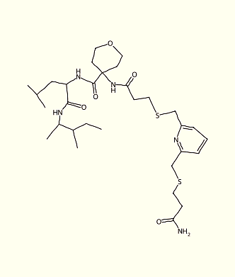 CCC(C)C(C)NC(=O)C(CC(C)C)NC(=O)C1(NC(=O)CCSCc2cccc(CSCCC(N)=O)n2)CCOCC1